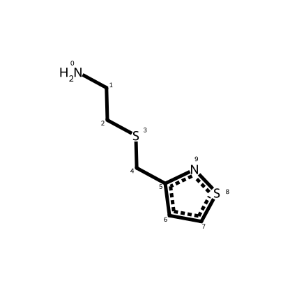 NCCSCc1ccsn1